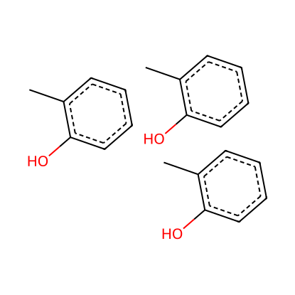 Cc1ccccc1O.Cc1ccccc1O.Cc1ccccc1O